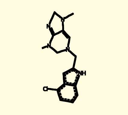 CN1CN=C2C1=CN(Cc1cc3c(Cl)cccc3[nH]1)CN2C